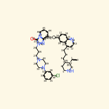 C=C[C@H]1CNCC[C@H]1CCCc1ccnc2ccc(OC)cc12.O=c1n(CCCN2CCN(c3cccc(Cl)c3)CC2)nc2ccccn12